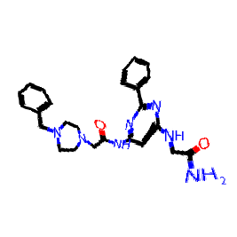 NC(=O)CNc1cc(NC(=O)CN2CCN(Cc3ccccc3)CC2)nc(-c2ccccc2)n1